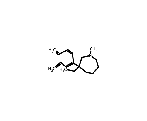 C=C/C=C\C(=C/C=C)C1(CC)CCCCN(C)C1